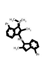 CC1=Cc2c(C(C)C)cccc2[CH]1[Mg][C]1=C(C)C(=[Si](C)C)c2c1cccc2C(C)C